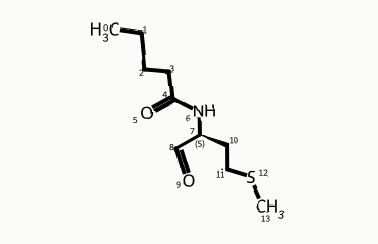 CCCCC(=O)N[C@H](C=O)C[CH]SC